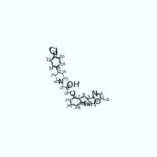 Cc1cnc(-c2cc3c(OCC(O)CN4CCC(c5ccc(Cl)cc5)CC4)cccc3[nH]2)o1